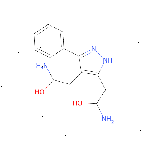 NC(O)Cc1[nH]nc(-c2ccccc2)c1CC(N)O